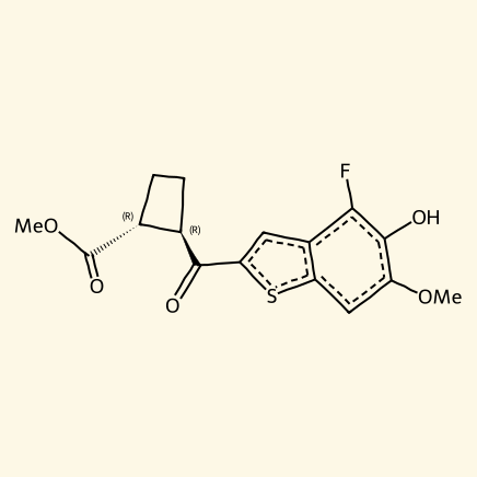 COC(=O)[C@@H]1CC[C@H]1C(=O)c1cc2c(F)c(O)c(OC)cc2s1